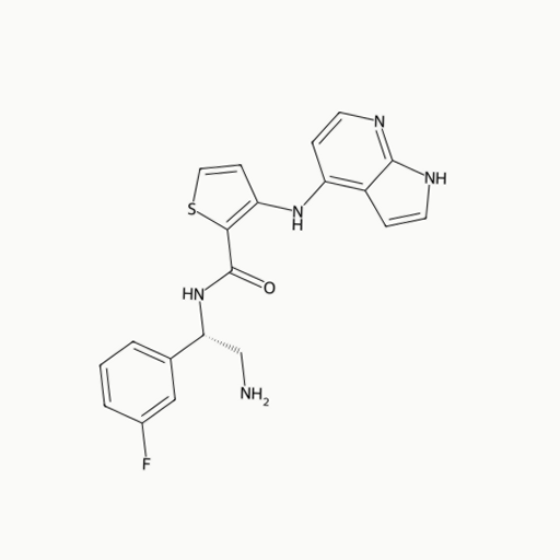 NC[C@@H](NC(=O)c1sccc1Nc1ccnc2[nH]ccc12)c1cccc(F)c1